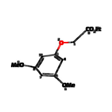 CCOC(=O)COc1cc(OC)cc(OC)c1